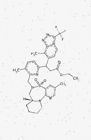 CCOC(=O)CC(c1ccc(C)c(CN2C[C@H]3CCCCN3c3ncc(C)cc3S2(=O)=O)n1)c1ccn2c(C(F)(F)F)nnc2c1C